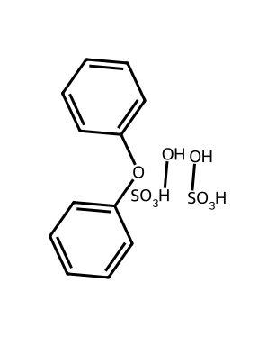 O=S(=O)(O)O.O=S(=O)(O)O.c1ccc(Oc2ccccc2)cc1